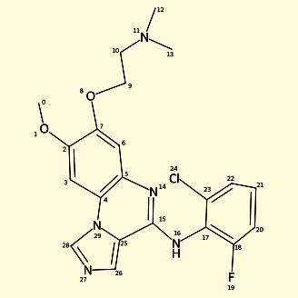 COc1cc2c(cc1OCCN(C)C)nc(Nc1c(F)cccc1Cl)c1cncn12